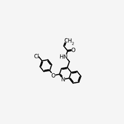 C=CC(=O)NCc1cc(Oc2ccc(Cl)cc2)nc2ccccc12